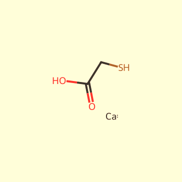 O=C(O)CS.[Ca]